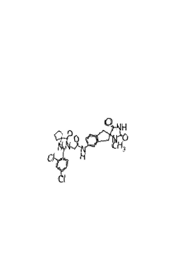 CN1C(=O)NC(=O)C12Cc1ccc(NC(=O)CN3C(=O)C4(CCCC4)N=C3c3ccc(Cl)cc3Cl)cc1C2